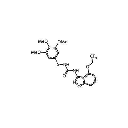 COc1cc(SNC(=O)Nc2noc3cccc(OCC(F)(F)F)c23)cc(OC)c1OC